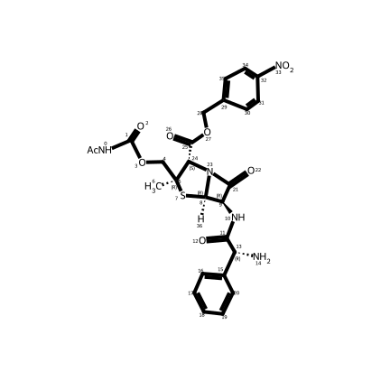 CC(=O)NC(=O)OC[C@]1(C)S[C@@H]2[C@H](NC(=O)[C@H](N)c3ccccc3)C(=O)N2[C@H]1C(=O)OCc1ccc([N+](=O)[O-])cc1